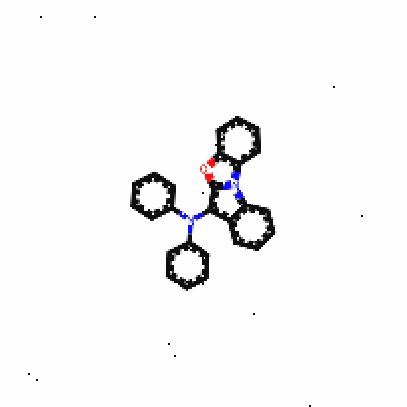 c1ccc(N(c2ccccc2)c2c3ccccc3n3c2oc2ccccc23)cc1